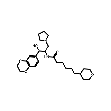 O=C(CCCCCC1CCOCC1)N[C@H](CN1CCCC1)[C@H](O)c1ccc2c(c1)OCCO2